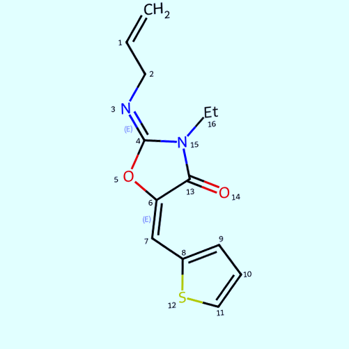 C=CC/N=C1/O/C(=C/c2cccs2)C(=O)N1CC